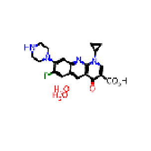 O.O.O=C(O)c1cn(C2CC2)c2nc3cc(N4CCNCC4)c(F)cc3cc2c1=O